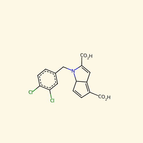 O=C(O)C1=CC2=C(C(=O)O)C=CC2N1Cc1ccc(Cl)c(Cl)c1